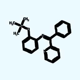 C[Si](C)(C)Oc1ccccc1N=C(c1ccccc1)c1ccccn1